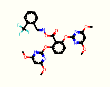 COc1cc(OC)nc(Oc2cccc(Oc3nc(OC)cc(OC)n3)c2C(=O)O/N=C/c2ccccc2C(F)(F)F)n1